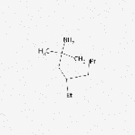 CCC(CC(C)C)CC(C)(C)N